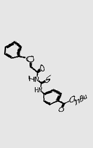 CCCCOC(=O)c1ccc(NC(=S)NC(=O)COc2ccccc2)cc1